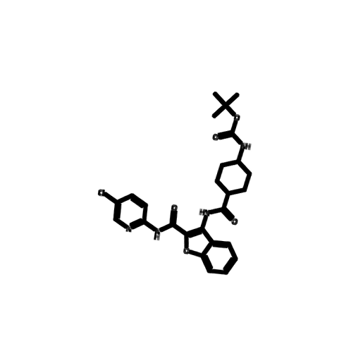 CC(C)(C)OC(=O)NC1CCC(C(=O)Nc2c(C(=O)Nc3ccc(Cl)cn3)oc3ccccc23)CC1